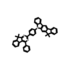 CC1(C)c2ccccc2-c2cc3c4ccccc4n(-c4ccc(-c5nc(-c6ccccc6)c6c(n5)C(C)(C)c5ccccc5-6)cc4)c3cc21